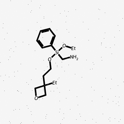 CCO[Si](CN)(OCCC1(CC)COC1)c1ccccc1